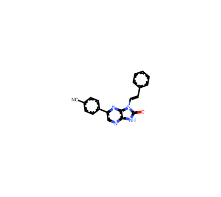 N#Cc1ccc(-c2cnc3[nH]c(=O)n(C=Cc4ccccc4)c3n2)cc1